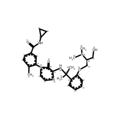 Cc1ccc(C(=O)NC2CC2)cc1-n1ccnc(NC(C)(C)c2ccccc2OC[C@H](CO)N(C)C)c1=O